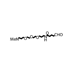 CNCCCOCCOCCOCCCNC(=O)CCCC=O